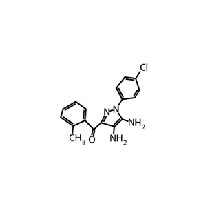 Cc1ccccc1C(=O)c1nn(-c2ccc(Cl)cc2)c(N)c1N